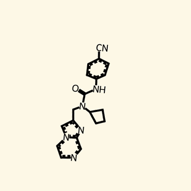 N#Cc1ccc(NC(=O)N(Cc2cn3ccncc3n2)C2CCC2)cc1